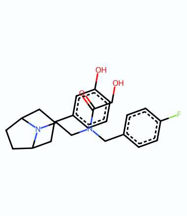 O=C(CO)N(CCN1C2CCC1CC(c1cccc(O)c1)C2)Cc1ccc(F)cc1